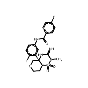 CN1C(=N)N[C@@]2(c3cc(NC(=O)c4ccc(F)cn4)ccc3F)COCCC2S1(=O)=O